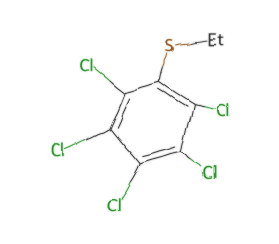 [CH2]CSc1c(Cl)c(Cl)c(Cl)c(Cl)c1Cl